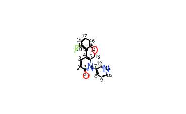 O=c1ccc2c(n1-c1cccnc1)COc1cccc(F)c1-2